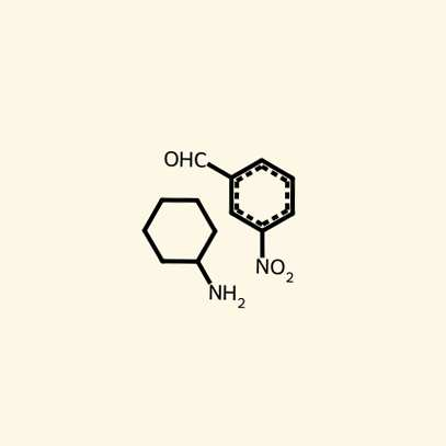 NC1CCCCC1.O=Cc1cccc([N+](=O)[O-])c1